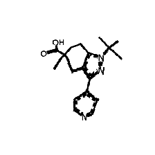 CC1(C(=O)O)CCc2c(c(-c3ccncc3)nn2C(C)(C)C)C1